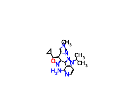 CC(C)n1nc(-c2noc(C3CC3)c2-c2cn(C)cn2)c2c(N)nccc21